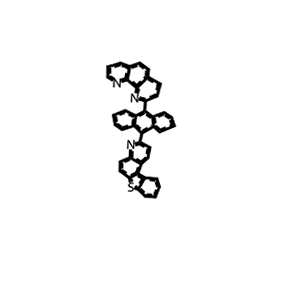 c1cnc2c(c1)ccc1ccc(-c3c4ccccc4c(-c4ccc5c(ccc6sc7ccccc7c65)n4)c4ccccc34)nc12